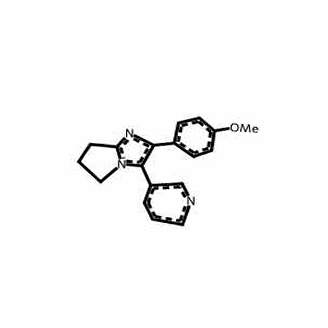 COc1ccc(-c2nc3n(c2-c2cccnc2)CCC3)cc1